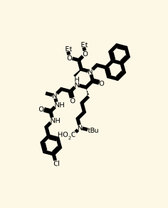 CCOC(OCC)[C@H](C)N(Cc1cccc2ccccc12)C(=O)[C@H](CCCCN(C(=O)O)C(C)(C)C)NC(=O)CN(C)NC(=O)NCc1ccc(Cl)cc1